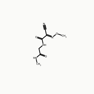 CNC(=O)CNC(=O)C(C#N)=NOC